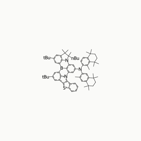 CCCCC1(C)N2c3cc(N(c4cc5c(cc4C)C(C)(C)CCC5(C)C)c4ccc5c(c4C)C(C)(C)CCC5(C)C)cc4c3B(c3cc(C(C)(C)C)cc(c32)C1(C)C)c1cc(C(C)(C)C)cc2c3sc5ccccc5c3n-4c12